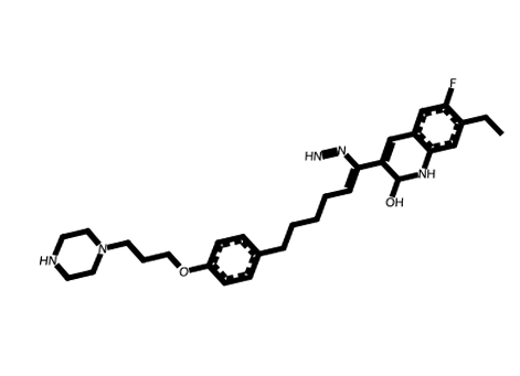 CCc1cc2c(cc1F)C=C(/C(=C/CCCCc1ccc(OCCCN3CCNCC3)cc1)N=N)C(O)N2